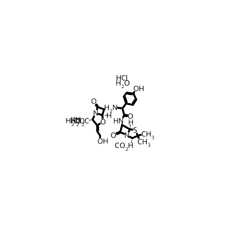 CC1(C)S[C@@H]2[C@H](NC(=O)C(N)c3ccc(O)cc3)C(=O)N2[C@H]1C(=O)O.Cl.O.O.O.O=C(O)[C@H]1C(=CCO)O[C@@H]2CC(=O)N12.[KH]